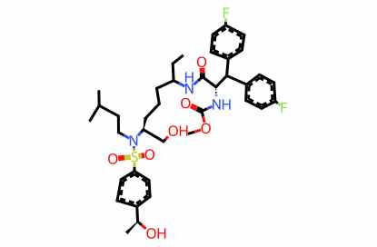 CCC(CCC[C@@H](CO)N(CCC(C)C)S(=O)(=O)c1ccc([C@H](C)O)cc1)NC(=O)[C@@H](NC(=O)OC)C(c1ccc(F)cc1)c1ccc(F)cc1